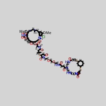 COc1cc2cc(c1Cl)N(C)C(=O)C[C@H](OC(=O)[C@H](C)N(C)C(=O)CC(C)(C)SC1CC(=O)N(CCOCCOCCNC(=O)CCC(=O)N3CCNCCN4C(=O)CC(SC5CCCCC(CC5)SCCC(=O)NCC3)C4=O)C1=O)[C@]1(C)O[C@H]1[C@H](C)[C@@H]1C[C@@](O)(NC(=O)O1)[C@H](OC)/C=C/C=C(\C)C2